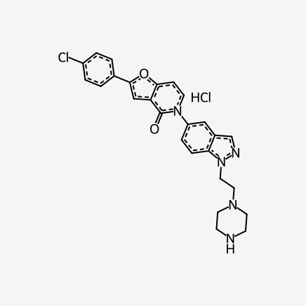 Cl.O=c1c2cc(-c3ccc(Cl)cc3)oc2ccn1-c1ccc2c(cnn2CCN2CCNCC2)c1